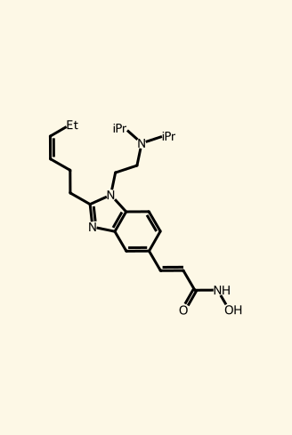 CC/C=C\CCc1nc2cc(/C=C/C(=O)NO)ccc2n1CCN(C(C)C)C(C)C